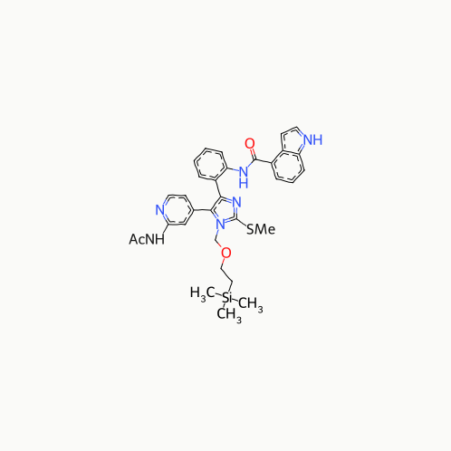 CSc1nc(-c2ccccc2NC(=O)c2cccc3[nH]ccc23)c(-c2ccnc(NC(C)=O)c2)n1COCC[Si](C)(C)C